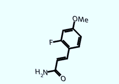 COc1ccc(C=CC(N)=O)c(F)c1